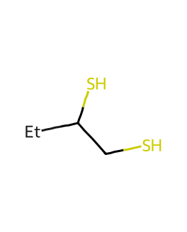 CCC(S)CS